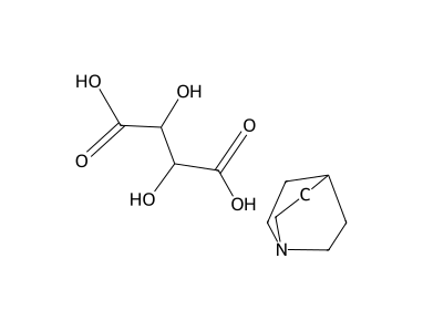 C1CN2CCC1CC2.O=C(O)C(O)C(O)C(=O)O